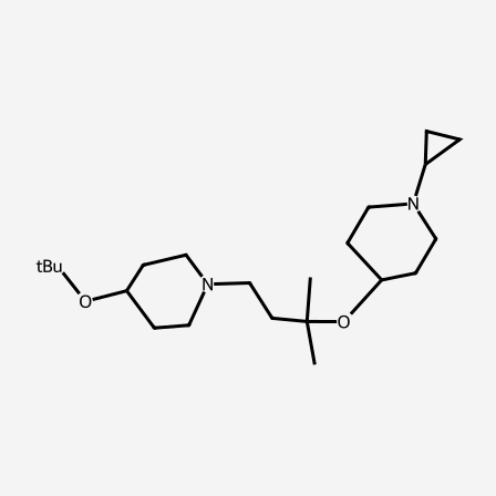 CC(C)(C)OC1CCN(CCC(C)(C)OC2CCN(C3CC3)CC2)CC1